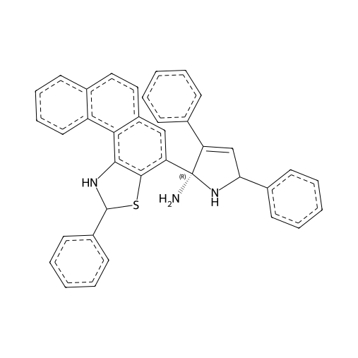 N[C@@]1(c2cc3ccc4ccccc4c3c3c2SC(c2ccccc2)N3)NC(c2ccccc2)C=C1c1ccccc1